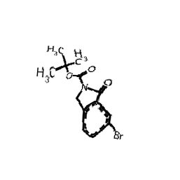 CC(C)(C)OC(=O)N1Cc2ccc(Br)cc2C1=O